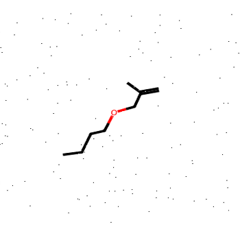 C=C(C)COCC[CH]C